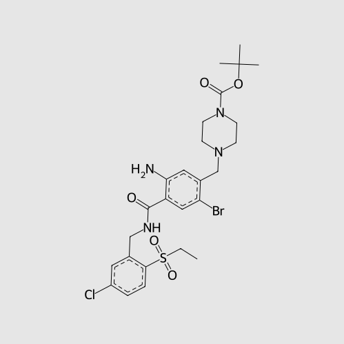 CCS(=O)(=O)c1ccc(Cl)cc1CNC(=O)c1cc(Br)c(CN2CCN(C(=O)OC(C)(C)C)CC2)cc1N